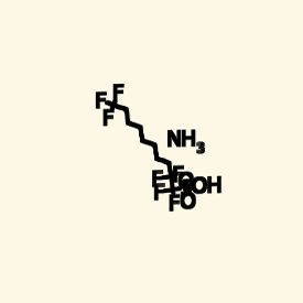 N.O=S(=O)(O)C(F)(F)C(F)(F)CCCCCCCC(F)(F)F